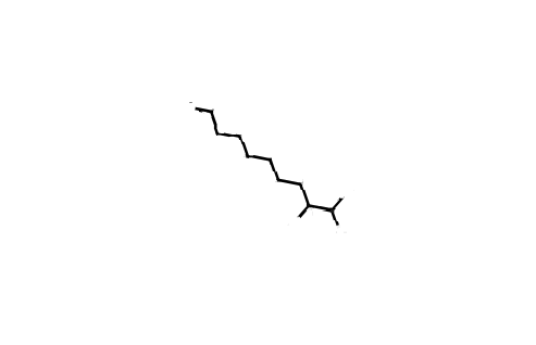 OC(F)C(F)CCCCCCCF